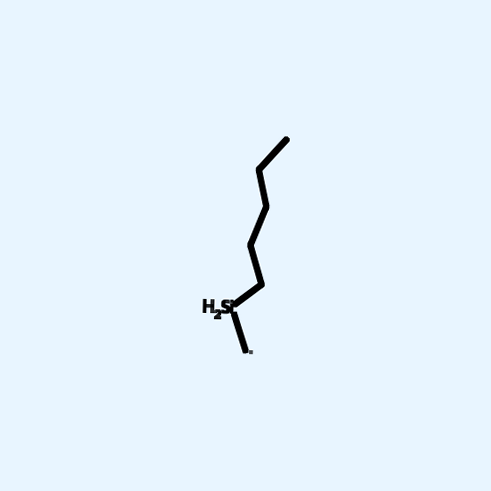 [CH2][SiH2]CCCCC